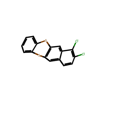 Clc1ccc2cc3c(cc2c1Cl)Sc1ccccc1S3